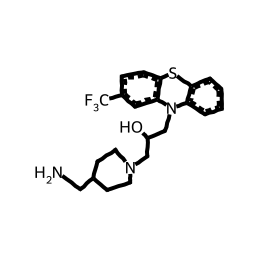 NCC1CCN(CC(O)CN2c3ccccc3Sc3ccc(C(F)(F)F)cc32)CC1